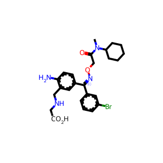 CN(C(=O)CO/N=C(/c1cccc(Br)c1)c1ccc(N)c(CNCC(=O)O)c1)C1CCCCC1